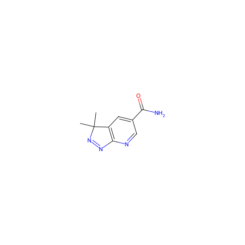 CC1(C)N=Nc2ncc(C(N)=O)cc21